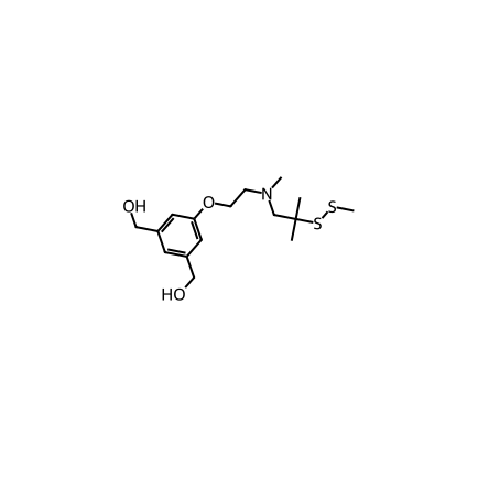 CSSC(C)(C)CN(C)CCOc1cc(CO)cc(CO)c1